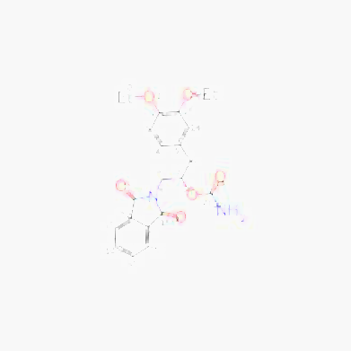 CCOc1ccc(CC(CN2C(=O)c3ccccc3C2=O)OC(N)=O)cc1OCC